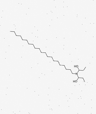 CCCCCCCCCCCCCCCCCCCCCN(C(O)CC)C(O)CC